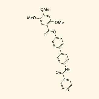 COc1cc(OC)c(C(=O)Oc2ccc(-c3ccc(NC(=O)c4ccncc4)cc3)cc2)cc1OC